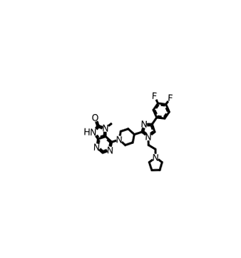 Cn1c(=O)[nH]c2ncnc(N3CCC(c4nc(-c5ccc(F)c(F)c5)cn4CCN4CCCC4)CC3)c21